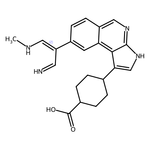 CN/C=C(\C=N)c1ccc2cnc3[nH]cc(C4CCC(C(=O)O)CC4)c3c2c1